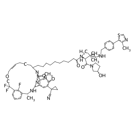 Cc1ncsc1-c1ccc(CNC(=O)[C@@H]2C[C@@H](O)CN2C(=O)[C@@H](NC(=O)CCCCCCCCCC2CCC/C=C\COCC(F)(F)c3cccc(c3F)[C@@H](C)Nc3nc(=O)n2c2c3cc(C3(C#N)CC3)c(=O)n2C)C(C)(C)C)cc1